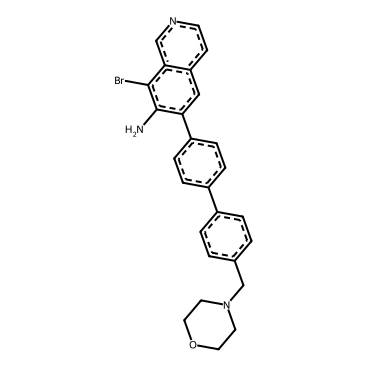 Nc1c(-c2ccc(-c3ccc(CN4CCOCC4)cc3)cc2)cc2ccncc2c1Br